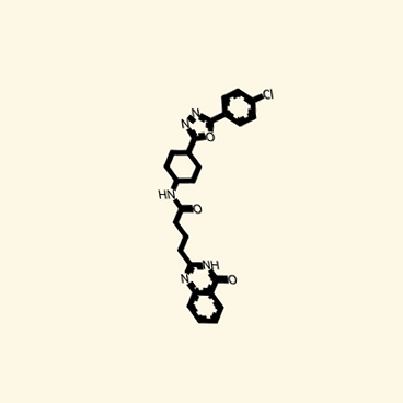 O=C(CCCc1nc2ccccc2c(=O)[nH]1)NC1CCC(c2nnc(-c3ccc(Cl)cc3)o2)CC1